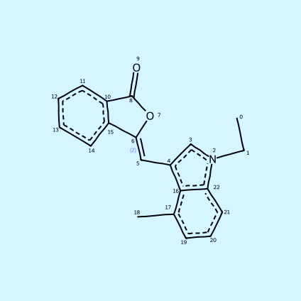 CCn1cc(/C=C2\OC(=O)c3ccccc32)c2c(C)cccc21